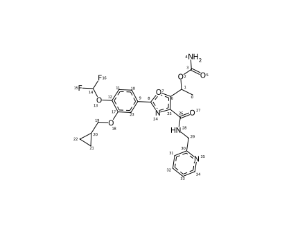 CC(OC(N)=O)c1oc(-c2ccc(OC(F)F)c(OCC3CC3)c2)nc1C(=O)NCc1ccccn1